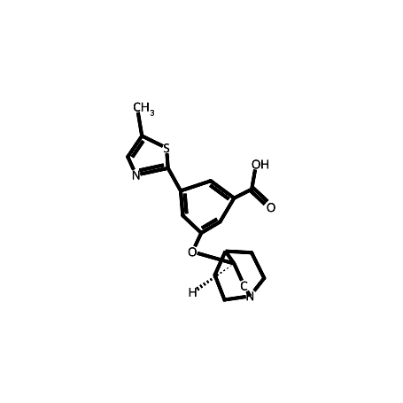 Cc1cnc(-c2cc(O[C@@H]3CN4CCC3CC4)cc(C(=O)O)c2)s1